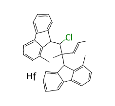 CC=CC(C)(C1c2ccccc2-c2cccc(C)c21)C(Cl)C1c2ccccc2-c2cccc(C)c21.[Hf]